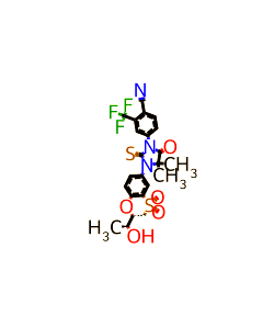 C[C@H](O)[C@H]1CS(=O)(=O)c2cc(N3C(=S)N(c4ccc(C#N)c(C(F)(F)F)c4)C(=O)C3(C)C)ccc2O1